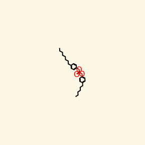 CCCCCCCCc1ccc(OC(=O)Oc2ccc(CCCCCC)cc2)cc1